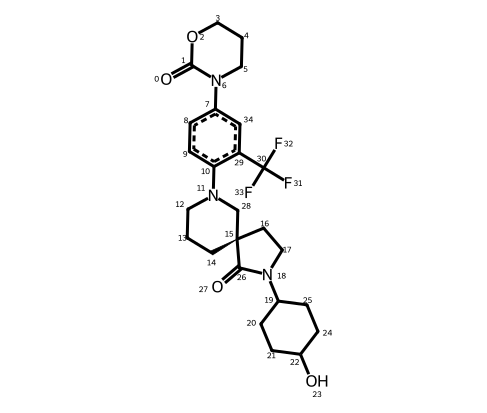 O=C1OCCCN1c1ccc(N2CCC[C@]3(CCN(C4CCC(O)CC4)C3=O)C2)c(C(F)(F)F)c1